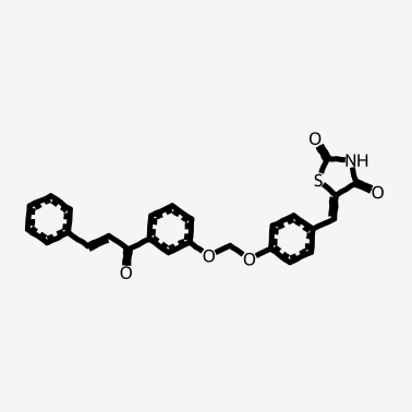 O=C1NC(=O)/C(=C/c2ccc(OCOc3cccc(C(=O)/C=C/c4ccccc4)c3)cc2)S1